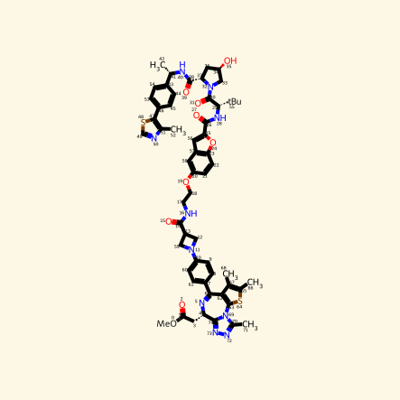 COC(=O)C[C@@H]1N=C(c2ccc(N3CC(C(=O)NCCOc4ccc5oc(C(=O)N[C@H](C(=O)N6C[C@H](O)C[C@H]6C(=O)N[C@@H](C)c6ccc(-c7scnc7C)cc6)C(C)(C)C)cc5c4)C3)cc2)c2c(sc(C)c2C)-n2c(C)nnc21